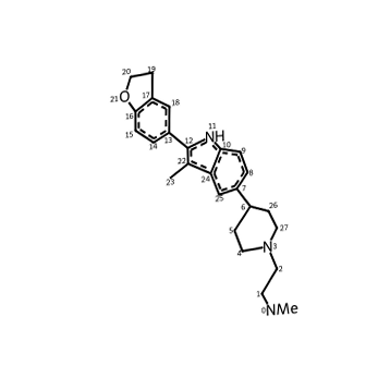 CNCCN1CCC(c2ccc3[nH]c(-c4ccc5c(c4)CCO5)c(C)c3c2)CC1